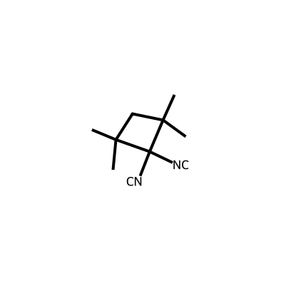 [C-]#[N+]C1([N+]#[C-])C(C)(C)CC1(C)C